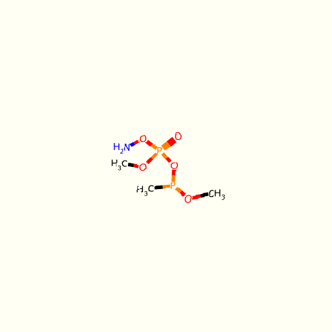 COP(C)OP(=O)(OC)ON